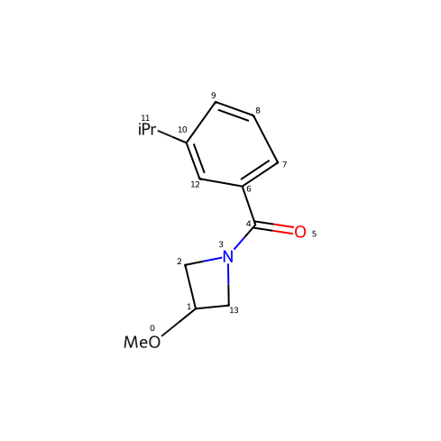 COC1CN(C(=O)c2cccc(C(C)C)c2)C1